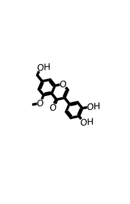 COc1cc(CO)cc2occ(-c3ccc(O)c(O)c3)c(=O)c12